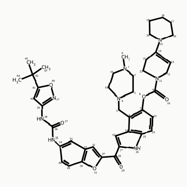 CN1CCN(Cc2c(OC(=O)N3CC=C(N4CCCCC4)CC3)ccc3[nH]c(C(=O)c4cc5cc(NC(=O)Nc6cc(C(C)(C)C)on6)ccc5o4)cc23)CC1